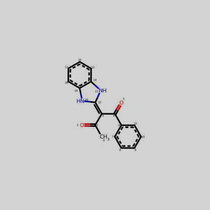 CC(=O)C(C(=O)c1ccccc1)=C1Nc2ccccc2N1